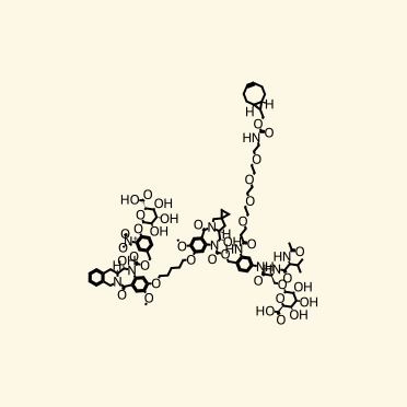 COc1cc2c(cc1OCCCCCOc1cc3c(cc1OC)C(=O)N1CC4(CC4)C[C@H]1[C@H](O)N3C(=O)OCc1ccc(NC(=O)[C@H](CO[C@@H]3O[C@H](C(=O)O)[C@@H](O)[C@H](O)[C@H]3O)NC(=O)[C@@H](NC(C)=O)C(C)C)cc1NC(=O)CCOCCOCCOCCOCCNC(=O)OCC1[C@H]3CCC#CCC[C@@H]13)N(C(=O)OCc1ccc(O[C@@H]3O[C@H](C(=O)O)[C@@H](O)[C@H](O)[C@H]3O)c([N+](=O)[O-])c1)[C@@H](O)[C@@H]1Cc3ccccc3CN1C2=O